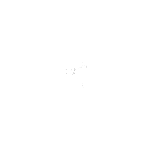 [F][Al]([F])[Br]